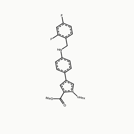 CCCCCCn1cc(-c2ccc(NCc3ccc(F)cc3F)cc2)cc1C(=O)OC